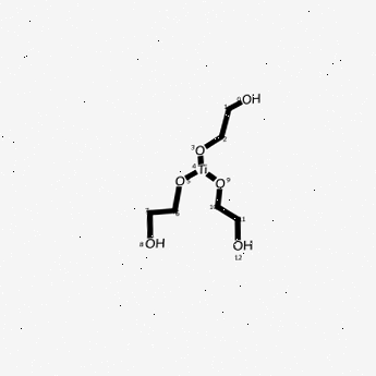 OCC[O][Ti]([O]CCO)[O]CCO